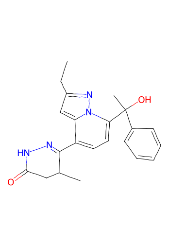 CCc1cc2c(C3=NNC(=O)CC3C)ccc(C(C)(O)c3ccccc3)n2n1